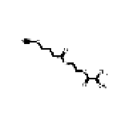 C=C(C)C(=O)OCCOC(=O)CCCOC#N